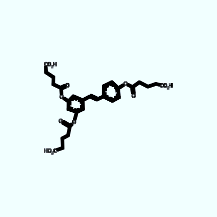 O=C(O)CCCC(=O)Oc1ccc(/C=C/c2cc(OC(=O)CCCC(=O)O)cc(OC(=O)CCCC(=O)O)c2)cc1